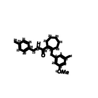 COc1cc(C)cc(CC2=C(C(=O)NCc3ccc(C)cc3)CCCCC2)c1